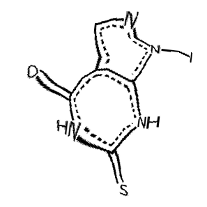 O=c1[nH]c(=S)[nH]c2c1cnn2I